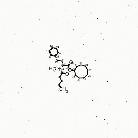 C=CCCC(=O)N(C)[C@@H](CCc1ccccc1)C(=O)OC1CCCCCCCC1